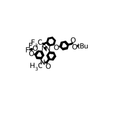 CN(C(=O)c1cccc(-n2nc(C(F)(F)F)c3c2[C@H](Oc2ccc(C(=O)OC(C)(C)C)cc2)CCC3)c1)c1ccc2c(c1)OC(F)(F)O2